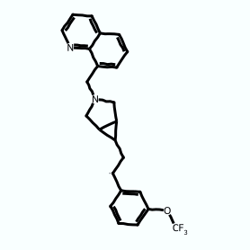 FC(F)(F)Oc1cccc([CH]CC2C3CN(Cc4cccc5cccnc45)CC23)c1